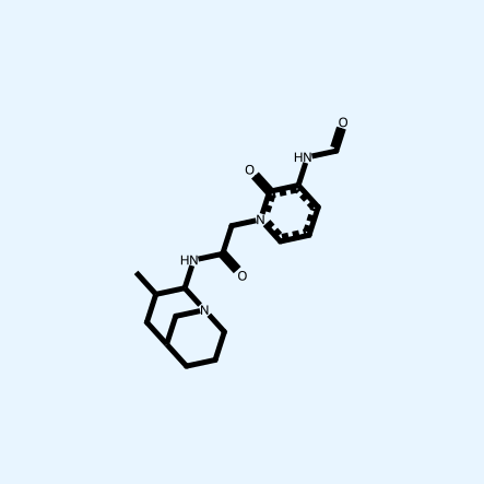 CC1CC2CCCN(C2)C1NC(=O)Cn1cccc(NC=O)c1=O